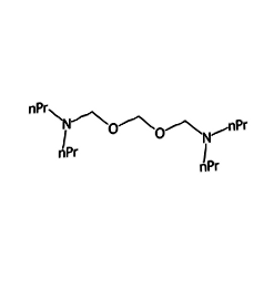 CCCN(CCC)COCOCN(CCC)CCC